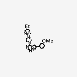 CCc1cnc(N2CCN(c3ncnn4cc(-c5cccc(OC)c5)cc34)CC2)nc1